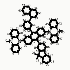 CN1c2ccccc2N(c2ccc3c(-c4ccc5c(c4)C(C)(C)c4ccccc4-5)c4cc(N5c6ccccc6N(C)c6ccccc65)ccc4c(-c4cccc(-c5cccc6ccccc56)c4)c3c2)c2ccccc21